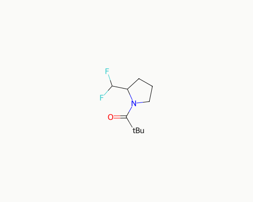 CC(C)(C)C(=O)N1CCCC1C(F)F